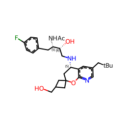 CC(=O)N[C@@H](Cc1ccc(F)cc1)[C@H](O)CN[C@H]1CC2(CC(CO)C2)Oc2ncc(CC(C)(C)C)cc21